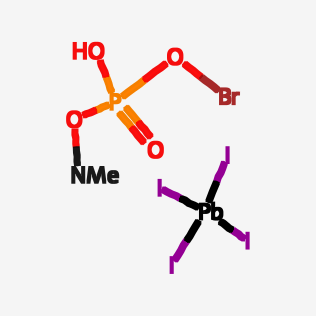 CNOP(=O)(O)OBr.[I][Pb]([I])([I])[I]